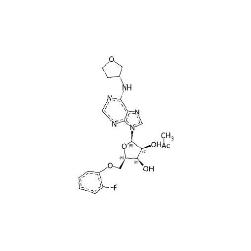 CC(C)=O.O[C@@H]1[C@H](O)[C@H](n2cnc3c(NC4CCOC4)ncnc32)O[C@@H]1COc1ccccc1F